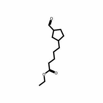 CCOC(=O)CCCCC1CCC(C=O)C1